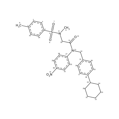 Cc1ccc(S(=O)(=O)N(C)CC(=O)N(Cc2ccc(C3CCCCC3)cc2)c2ccc([N+](=O)[O-])cc2)cc1